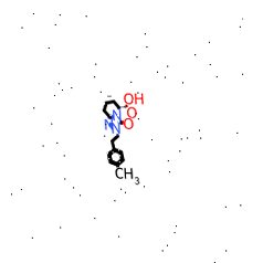 Cc1ccc(CCn2nc3n(c2=O)[C@@H](C(=O)O)CCC3)cc1